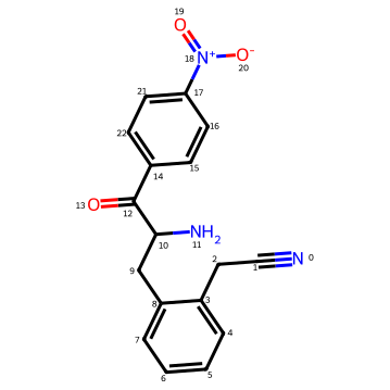 N#CCc1ccccc1CC(N)C(=O)c1ccc([N+](=O)[O-])cc1